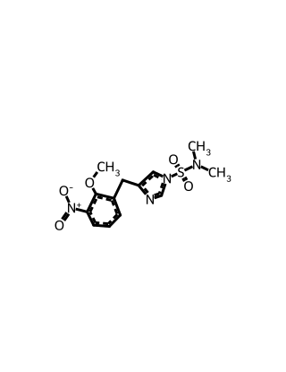 COc1c(Cc2cn(S(=O)(=O)N(C)C)cn2)cccc1[N+](=O)[O-]